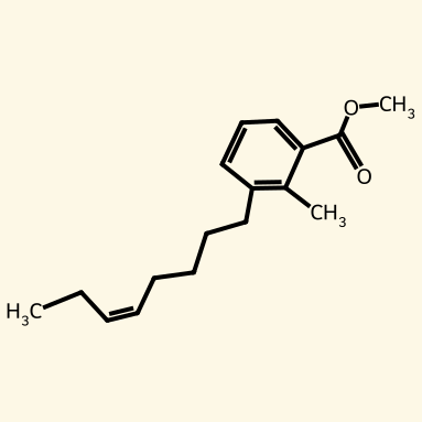 CC/C=C\CCCCc1cccc(C(=O)OC)c1C